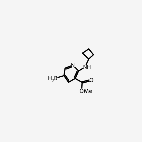 Bc1cnc(NC2CCC2)c(C(=O)OC)c1